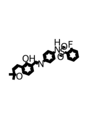 CC1(C)C=Cc2c(ccc(/C=N/c3ccc(NS(=O)(=O)c4ccccc4F)cc3)c2O)O1